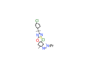 Cc1cc(Oc2nc(C(C)(C)c3ccc(Cl)cc3)ns2)c(Cl)cc1/N=C\N(C)C(C)C